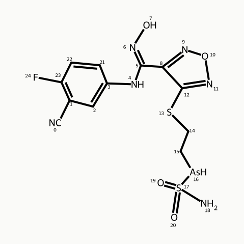 N#Cc1cc(N/C(=N/O)c2nonc2SCC[AsH]S(N)(=O)=O)ccc1F